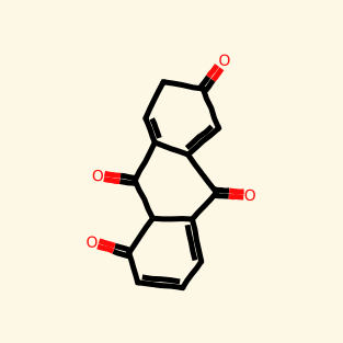 O=C1C=C2C(=O)C3=CC=CC(=O)C3C(=O)C2=CC1